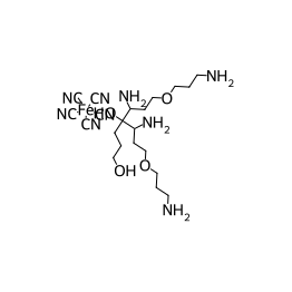 N#[C][Fe]([C]#N)([C]#N)([C]#N)[C]#N.NCCCOCCC(N)C(O)(CCCO)C(N)CCOCCCN